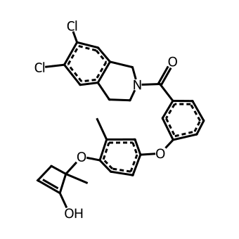 Cc1cc(Oc2cccc(C(=O)N3CCc4cc(Cl)c(Cl)cc4C3)c2)ccc1OC1(C)CC=C1O